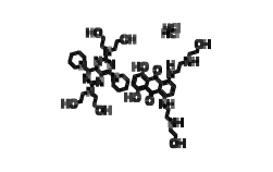 Cl.Cl.O=C1c2c(O)ccc(O)c2C(=O)c2c(NCCNCCO)ccc(NCCNCCO)c21.OCCN(CCO)c1nc(N2CCCCC2)c2nc(N(CCO)CCO)nc(N3CCCCC3)c2n1